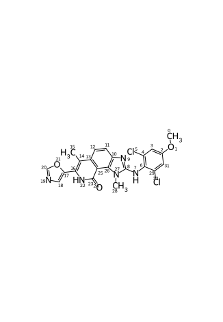 COc1cc(Cl)c(Nc2nc3ccc4c(C)c(-c5cnco5)[nH]c(=O)c4c3n2C)c(Cl)c1